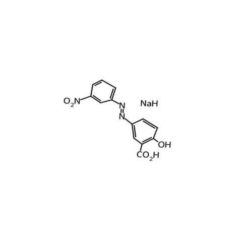 O=C(O)c1cc(N=Nc2cccc([N+](=O)[O-])c2)ccc1O.[NaH]